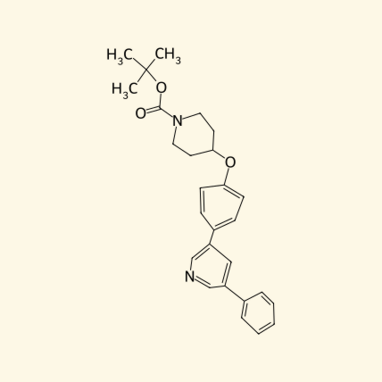 CC(C)(C)OC(=O)N1CCC(Oc2ccc(-c3cncc(-c4ccccc4)c3)cc2)CC1